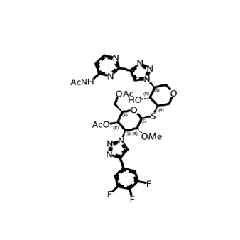 CO[C@@H]1[C@@H](n2cc(-c3cc(F)c(F)c(F)c3)nn2)[C@@H](OC(C)=O)[C@@H](COC(C)=O)O[C@H]1S[C@@H]1COC[C@H](n2cc(-c3nccc(NC(C)=O)n3)nn2)[C@H]1O